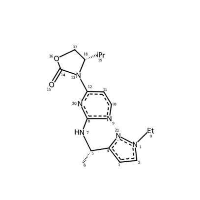 CCn1ccc([C@H](C)Nc2nccc(N3C(=O)OC[C@@H]3C(C)C)n2)n1